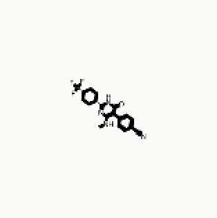 CNc1nc([C@H]2CC[C@@H](C(F)(F)F)CC2)[nH]c(=O)c1-c1ccc(C#N)cc1